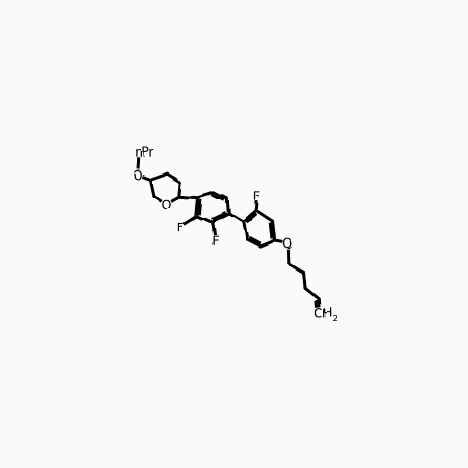 C=CCCCOc1ccc(-c2ccc(C3CCC(OCCC)CO3)c(F)c2F)c(F)c1